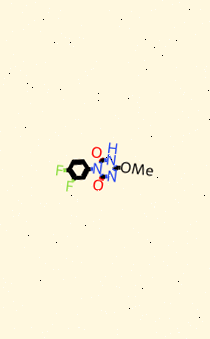 COc1nc(=O)n(-c2ccc(F)c(F)c2)c(=O)[nH]1